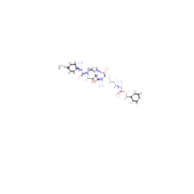 CCCN1C(=O)[C@H](CCCCNC(=O)OCc2ccccc2)NC(=O)C12CCN(C(=O)Nc1ccc(C(C)C)cc1)CC2